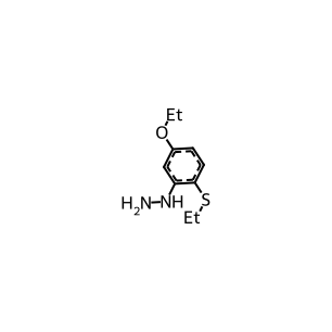 CCOc1ccc(SCC)c(NN)c1